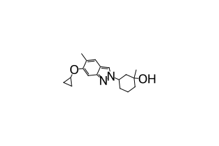 Cc1cc2cn(C3CCCC(C)(O)C3)nc2cc1OC1CC1